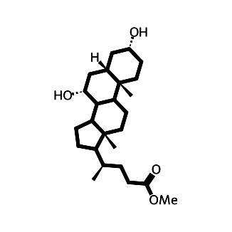 COC(=O)CC[C@@H](C)C1CCC2C3C(CC[C@@]21C)[C@@]1(C)CC[C@@H](O)C[C@H]1C[C@H]3O